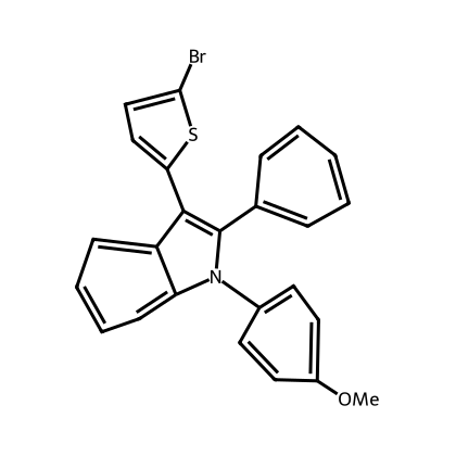 COc1ccc(-n2c(-c3ccccc3)c(-c3ccc(Br)s3)c3ccccc32)cc1